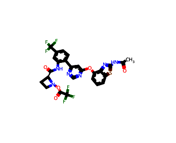 CC(=O)Nc1nc2c(Oc3cc(-c4ccc(C(F)(F)F)cc4NC(=O)[C@@H]4CCN4OC(=O)C(F)(F)F)ncn3)cccc2s1